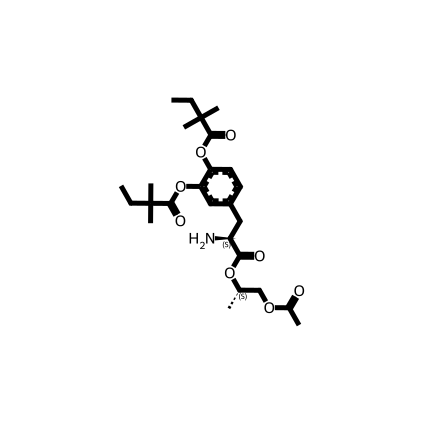 CCC(C)(C)C(=O)Oc1ccc(C[C@H](N)C(=O)O[C@@H](C)COC(C)=O)cc1OC(=O)C(C)(C)CC